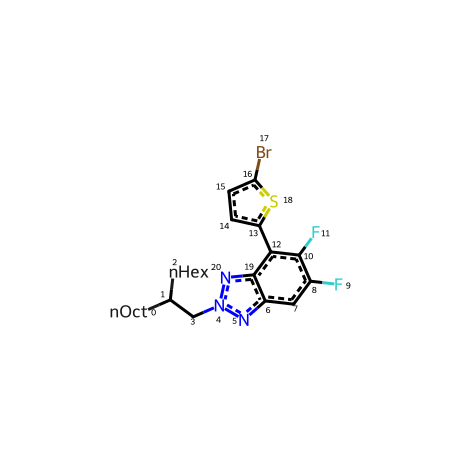 CCCCCCCCC(CCCCCC)Cn1nc2cc(F)c(F)c(-c3ccc(Br)s3)c2n1